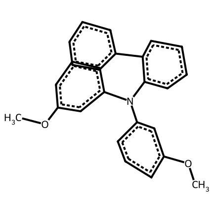 COc1cccc(N(c2cccc(OC)c2)c2ccccc2-c2ccccc2)c1